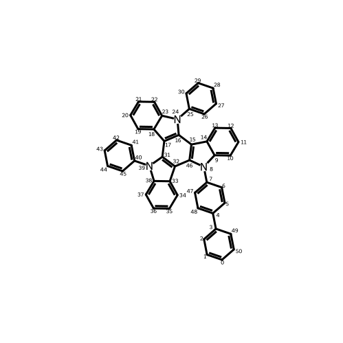 c1ccc(-c2ccc(-n3c4ccccc4c4c5c(c6ccccc6n5-c5ccccc5)c5c(c6ccccc6n5-c5ccccc5)c43)cc2)cc1